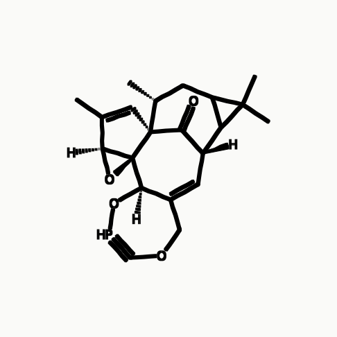 CC1=C[C@]23C(=O)[C@@H](C=C4COC#[PH]O[C@H]4[C@@]24O[C@@H]14)C1C(C[C@H]3C)C1(C)C